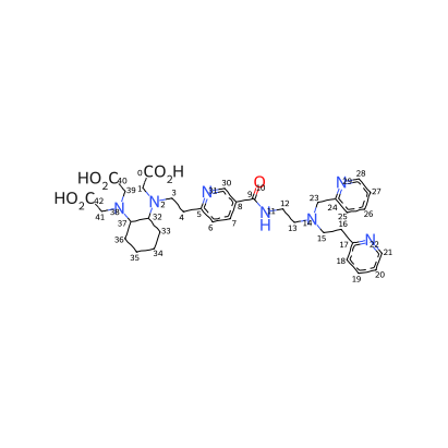 O=C(O)CN(CCc1ccc(C(=O)NCCN(CCc2ccccn2)Cc2ccccn2)cn1)C1CCCCC1N(CC(=O)O)CC(=O)O